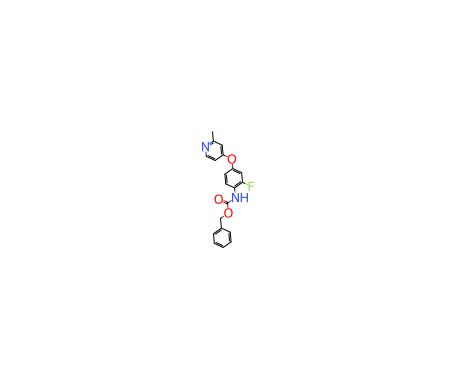 Cc1cc(Oc2ccc(NC(=O)OCc3ccccc3)c(F)c2)ccn1